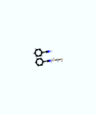 N#Cc1ccccc1.N#Cc1ccccc1.[Br][Ni][Br]